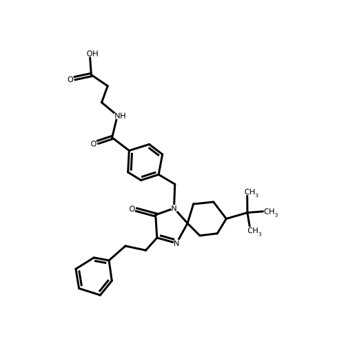 CC(C)(C)C1CCC2(CC1)N=C(CCc1ccccc1)C(=O)N2Cc1ccc(C(=O)NCCC(=O)O)cc1